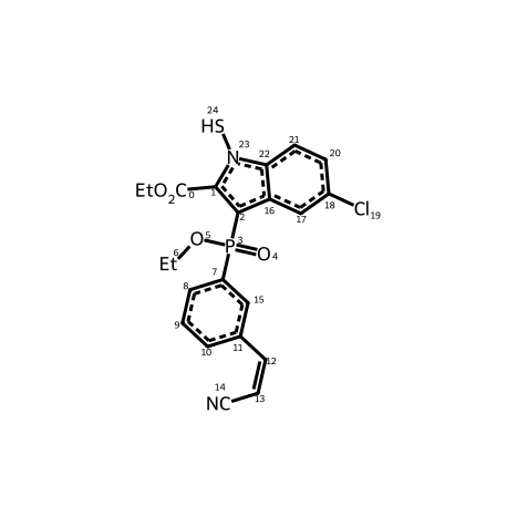 CCOC(=O)c1c(P(=O)(OCC)c2cccc(/C=C\C#N)c2)c2cc(Cl)ccc2n1S